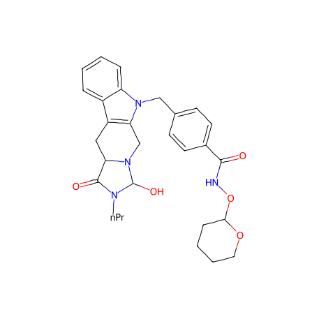 CCCN1C(=O)C2Cc3c(n(Cc4ccc(C(=O)NOC5CCCCO5)cc4)c4ccccc34)CN2C1O